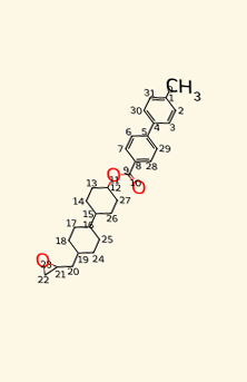 Cc1ccc(-c2ccc(C(=O)OC3CCC(C4CCC(CC5CO5)CC4)CC3)cc2)cc1